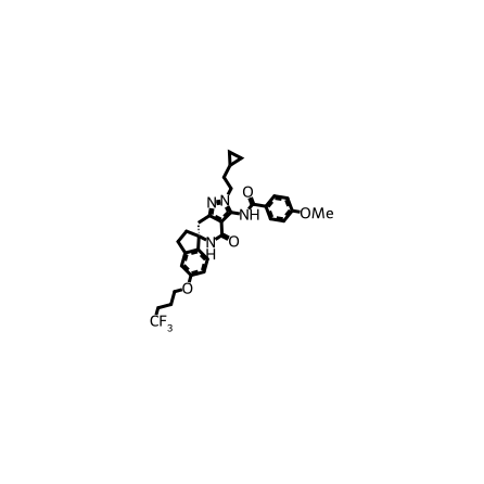 COc1ccc(C(=O)Nc2c3c(nn2CCC2CC2)C[C@]2(CCc4cc(OCCCC(F)(F)F)ccc42)NC3=O)cc1